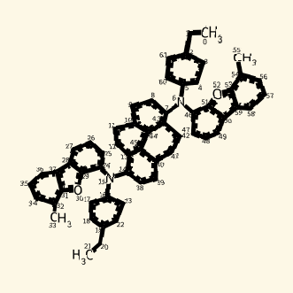 CCc1ccc(N(c2ccc3ccc4c(N(c5ccc(CC)cc5)c5cccc6c5oc5c(C)cccc56)ccc5ccc2c3c54)c2cccc3c2oc2c(C)cccc23)cc1